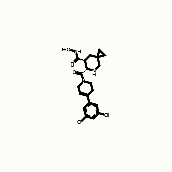 O=C(NO)[C@H]1CC2(CC2)CN[C@@H]1C(=O)N1CC=C(c2cc(Cl)cc(Cl)c2)CC1